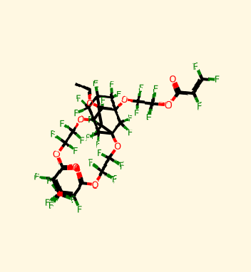 CCOC1(F)C2(OC(F)(F)C(F)(F)OC(=O)C(F)=C(F)F)C(F)(F)C3(F)C(F)(F)C(OC(F)(F)C(F)(F)OC(=O)C(F)=C(F)F)(C2(F)F)C(F)(F)C1(OC(F)(F)C(F)(F)OC(=O)C(F)=C(F)F)C3(F)F